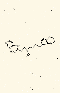 O=C(O)[C@H](CCN(CCCCc1ccc2c(n1)NCCC2)C1CC1)Nc1ccncn1